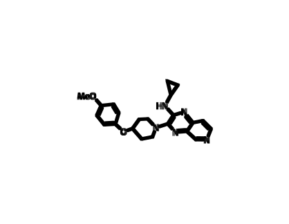 COc1ccc(OC2CCN(c3nc4cnccc4nc3NC3CC3)CC2)cc1